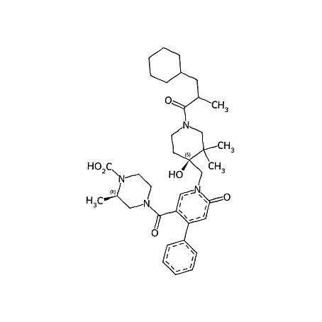 CC(CC1CCCCC1)C(=O)N1CC[C@@](O)(Cn2cc(C(=O)N3CCN(C(=O)O)[C@H](C)C3)c(-c3ccccc3)cc2=O)C(C)(C)C1